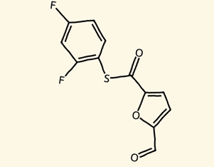 O=Cc1ccc(C(=O)Sc2ccc(F)cc2F)o1